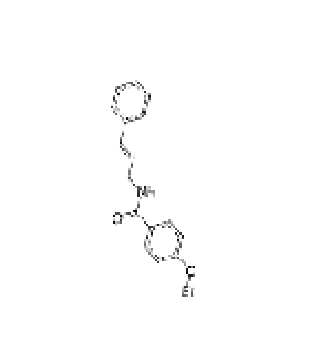 CCOc1ccc(C(=O)NCC=Cc2ccccc2)cc1